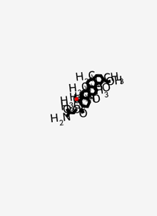 CC1(C)[C@@H](C(=O)OCC(N)=O)CC[C@]2(C)[C@H]3C(=O)C=C4[C@@H]5C[C@@](C)(C(=O)O)CC[C@]5(C)CC[C@@]4(C)[C@]3(C)CC[C@@H]12